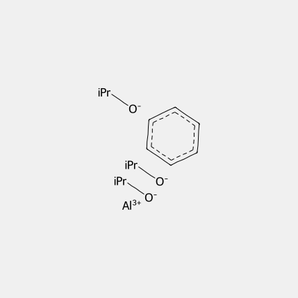 CC(C)[O-].CC(C)[O-].CC(C)[O-].[Al+3].c1ccccc1